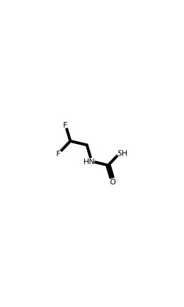 O=C(S)NCC(F)F